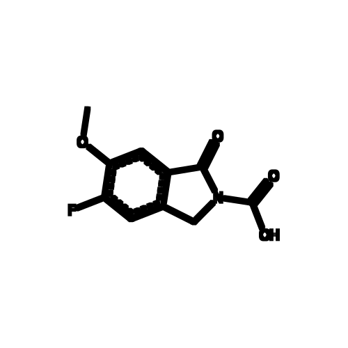 COc1cc2c(cc1F)CN(C(=O)O)C2=O